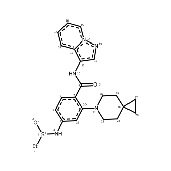 CC[S+]([O-])Nc1ccc(C(=O)Nc2cnn3ccccc23)c(N2CCC3(CC2)CC3)c1